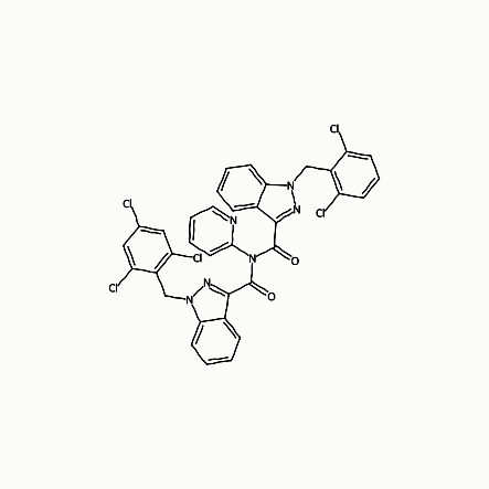 O=C(c1nn(Cc2c(Cl)cccc2Cl)c2ccccc12)N(C(=O)c1nn(Cc2c(Cl)cc(Cl)cc2Cl)c2ccccc12)c1ccccn1